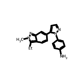 CCc1c2ccc(-c3ccnn3-c3ccc(N)cc3)cc2nn1C